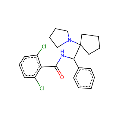 O=C(NC(c1ccccc1)C1(N2CCCC2)CCCC1)c1c(Cl)cccc1Cl